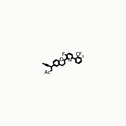 CC#CC(CC(C)=O)c1ccc2c(c1)CCC(c1nc(-c3ccccc3C(F)(F)F)ccc1F)O2